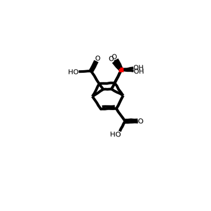 O=C(O)C1=CC2CC(C(=O)O)C1C(C(=O)O)C2C(=O)O